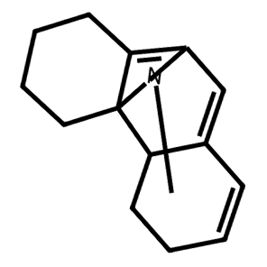 CN1CC2=C3CCCCC31C1CCC=CC1=C2